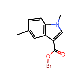 Cc1ccc2c(c1)c(C(=O)OBr)cn2C